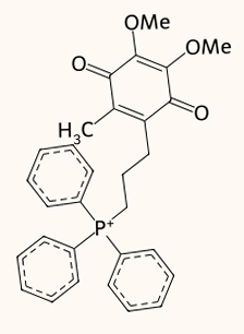 COC1=C(OC)C(=O)C(CCC[P+](c2ccccc2)(c2ccccc2)c2ccccc2)=C(C)C1=O